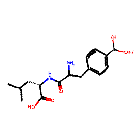 CC(C)C[C@H](NC(=O)C(N)Cc1ccc(B(O)O)cc1)C(=O)O